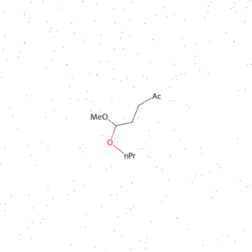 CCCOC(CCC(C)=O)OC